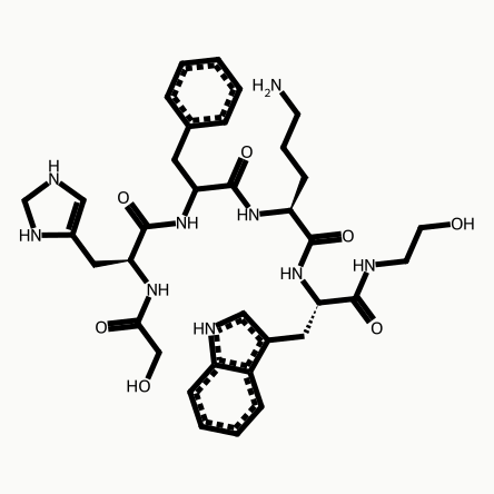 NCCC[C@H](NC(=O)C(Cc1ccccc1)NC(=O)[C@H](CC1=CNCN1)NC(=O)CO)C(=O)N[C@@H](Cc1c[nH]c2ccccc12)C(=O)NCCO